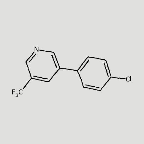 FC(F)(F)c1cncc(-c2ccc(Cl)cc2)c1